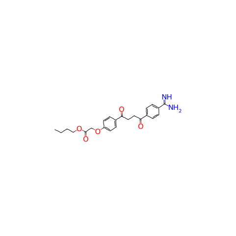 CCCCOC(=O)COc1ccc(C(=O)CCC(=O)c2ccc(C(=N)N)cc2)cc1